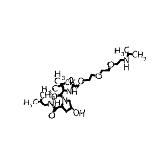 CC(C)CNC(=O)C1C[C@H](O)CN1C(=O)C(NC(=O)COCCOCCOCCNC(C)C)C(C)(C)C